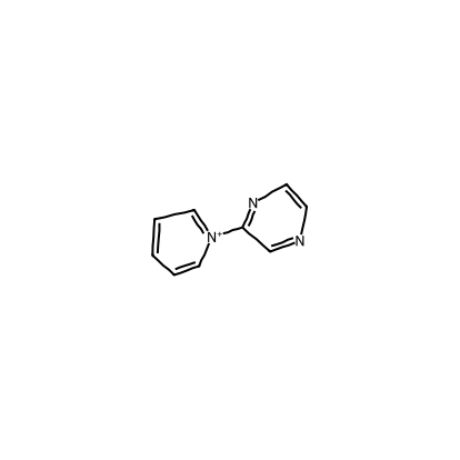 c1cc[n+](-c2cnccn2)cc1